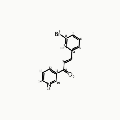 O=C(/C=C/c1cccc(Br)n1)c1cccnc1